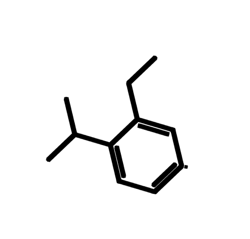 CCc1c[c]ccc1C(C)C